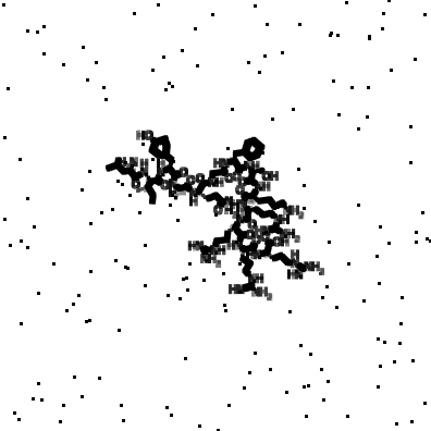 CC[C@H](C)[C@H](NC(=O)[C@@H](N)CC(C)C)C(=O)N[C@@H](Cc1ccc(O)cc1)C(=O)N[C@@H](C)C(=O)N[C@@H](CCC(N)=O)C(=O)NCC(=O)N[C@@H](Cc1ccccc1)C(=O)N[C@@H](CO)C(=O)N[C@@H](CCCCN)C(=O)N[C@@H](CCCNC(=N)N)C(=O)N[C@@H](CCCNC(=N)N)C(=O)N[C@@H](CCCNC(=N)N)C(=O)N[C@@H](CCCNC(=N)N)C(=O)O